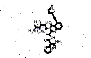 B=C(/C(B)=C(B)\C(B)=C(\B)C)n1c(C(C)NC(=O)c2c(N)nn3cccnc23)nc2cccc(C#Cc3ccn(C)n3)c2c1=O